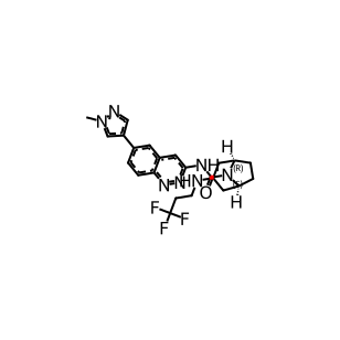 Cn1cc(-c2ccc3nnc(NC(=O)N4[C@@H]5CC[C@H]4CC(NCCC(F)(F)F)C5)cc3c2)cn1